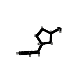 CCC1CCN(N=C=O)C1